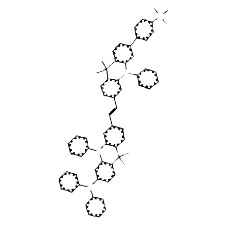 CC1(C)c2ccc(/C=C/c3ccc4c(c3)N(c3ccccc3)c3cc(N(c5ccccc5)c5ccccc5)ccc3C4(C)C)cc2N(c2ccccc2)c2cc(-c3ccc([Si](C)(C)C)cc3)ccc21